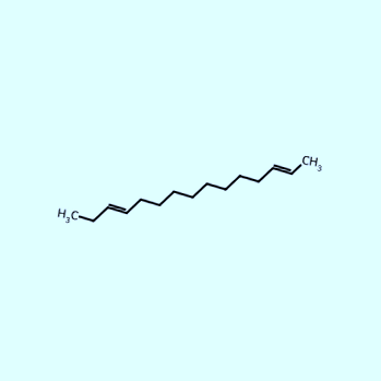 CC=CCCCCCCCCC=CCC